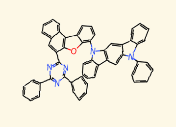 c1ccc(-c2nc(-c3ccccc3)nc(-c3cc4ccccc4c4c3oc3c(-n5c6ccccc6c6cc7c(cc65)c5ccccc5n7-c5ccccc5)cccc34)n2)cc1